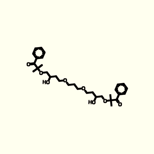 CC(C)(OCC(O)CCOCCCOCCC(O)COC(C)(C)C(=O)c1ccccc1)C(=O)c1ccccc1